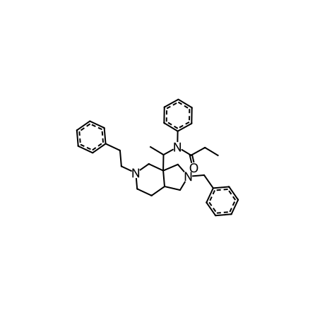 CCC(=O)N(c1ccccc1)C(C)C12CN(CCc3ccccc3)CCC1CN(Cc1ccccc1)C2